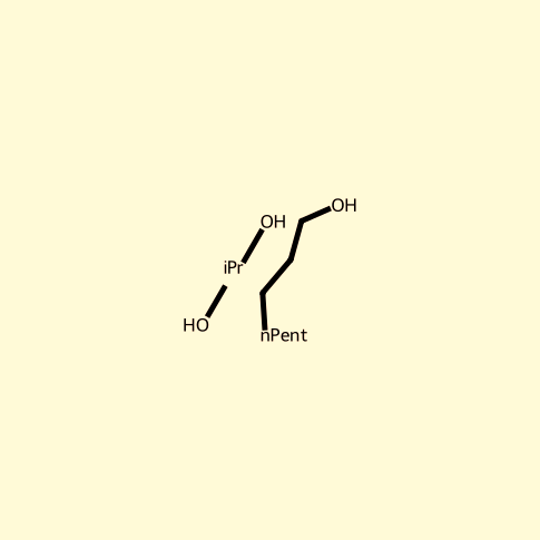 CC(C)O.CCCCCCCCO.CO